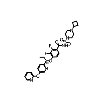 CC[C@@H](Oc1ccc(C(=O)NS(=O)(=O)N2CCN(C3CCC3)CC2)c(F)c1F)c1ccc(Oc2ccccn2)cn1